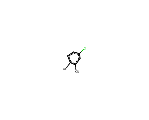 CC(=O)c1ccc(Cl)cc1C#N